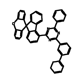 C1=CCCC(c2cccc(-c3nc(-c4ccccc4)nc(-c4cccc5c4-c4ccccc4C54c5ccccc5Oc5ccccc54)n3)c2)=C1